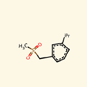 CC(C)c1cccc(CS(C)(=O)=O)c1